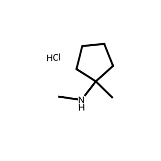 CNC1(C)CCCC1.Cl